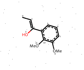 CC=C(O)c1cccc(OC)c1OC